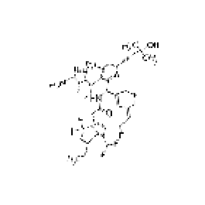 C=C[C@H]1CC(F)(F)c2c1c(C(F)F)nn2CC(=O)NC(/C(=C/C(F)=C\CF)CF)c1nc(C#CC(C)(C)O)ccc1C1=c2c(c(N)nn2C)=CCC1